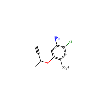 C#CC(C)Oc1cc(N)c(Cl)cc1C(=O)O